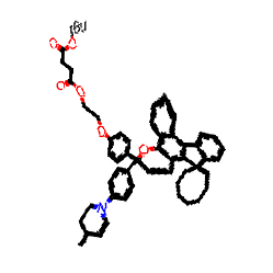 CC1CCN(c2ccc(C3(c4ccc(OCCOC(=O)CCC(=O)OC(C)(C)C)cc4)C=Cc4c5c(c6ccccc6c4O3)-c3ccccc3C53CCCCCCC3)cc2)CC1